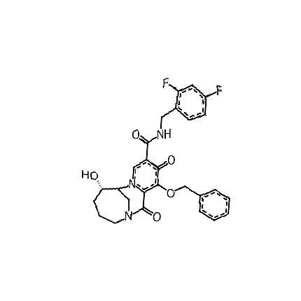 O=C(NCc1ccc(F)cc1F)c1cn2c(c(OCc3ccccc3)c1=O)C(=O)N1CCC[C@H](O)C2C1